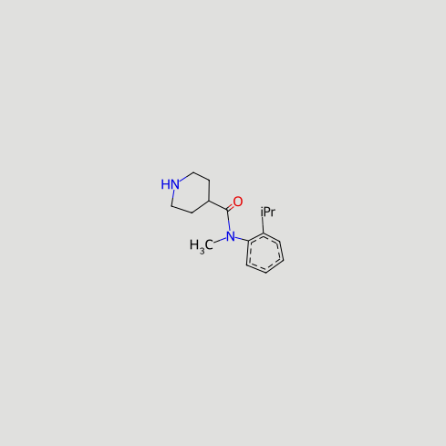 CC(C)c1ccccc1N(C)C(=O)C1CCNCC1